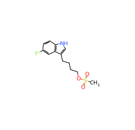 CS(=O)(=O)OCCCCc1c[nH]c2ccc(F)cc12